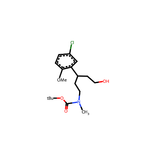 COc1ccc(Cl)cc1C(CCO)CCN(C)C(=O)OC(C)(C)C